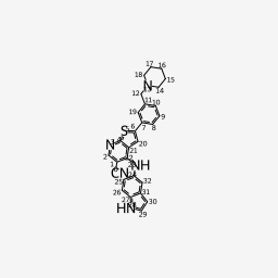 N#Cc1cnc2sc(-c3cccc(CN4CCCCC4)c3)cc2c1Nc1ccc2[nH]ccc2c1